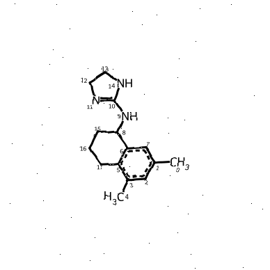 Cc1cc(C)c2c(c1)C(NC1=NCCN1)CCC2